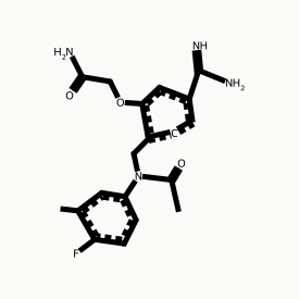 CC(=O)N(Cc1ccc(C(=N)N)cc1OCC(N)=O)c1ccc(F)c(C)c1